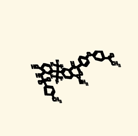 BOc1ccc(C(c2ccc(O)c(NS(=O)(=O)c3ccc(C)cc3)c2)(C(F)(F)F)C(F)(F)F)cc1NC(=O)c1ccc(Oc2ccc(C(C)=O)cc2)cc1